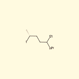 CCCC(CC)CC[C@@H](C)I